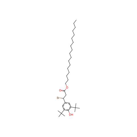 CCCCCCCCCCCCCCCCCCOC(=O)CC(Br)c1cc(C(C)(C)C)c(O)c(C(C)(C)C)c1